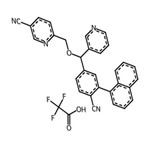 N#Cc1ccc(COC(c2cccnc2)c2ccc(C#N)c(-c3cccc4ccccc34)c2)nc1.O=C(O)C(F)(F)F